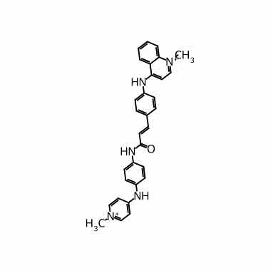 C[n+]1ccc(Nc2ccc(NC(=O)C=Cc3ccc(Nc4cc[n+](C)c5ccccc45)cc3)cc2)cc1